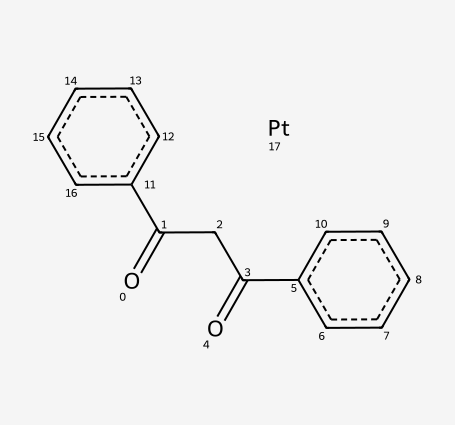 O=C(CC(=O)c1ccccc1)c1ccccc1.[Pt]